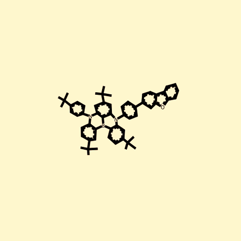 CC(C)(C)c1ccc(N2c3ccc(C(C)(C)C)cc3B3c4ccc(C(C)(C)C)cc4N(c4ccc(-c5ccc6c(c5)oc5ccccc56)cc4)c4cc(C(C)(C)C)cc2c43)cc1